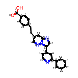 O=C(O)c1ccc(CCc2cnn3c(-c4ccnc(-c5ccccc5)c4)cnc3c2)cc1